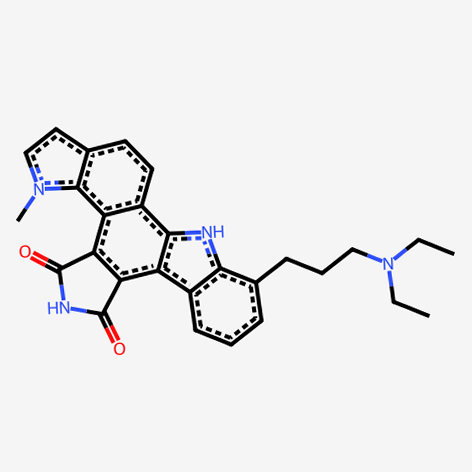 CCN(CC)CCCc1cccc2c1[nH]c1c3ccc4ccn(C)c4c3c3c(c21)C(=O)NC3=O